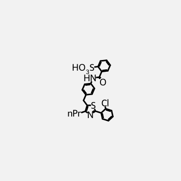 CCCc1nc(-c2ccccc2Cl)sc1Cc1ccc(NC(=O)c2ccccc2S(=O)(=O)O)cc1